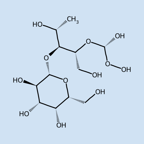 C[C@@H](O)[C@H](O[C@@H]1O[C@H](CO)[C@H](O)[C@H](O)[C@H]1O)[C@@H](CO)O[C@H](O)OO